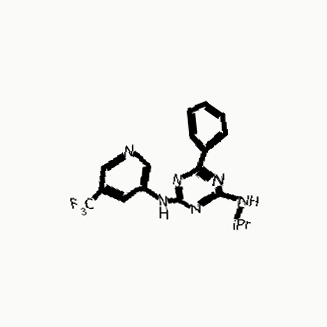 CC(C)Nc1nc(Nc2cncc(C(F)(F)F)c2)nc(-c2ccccc2)n1